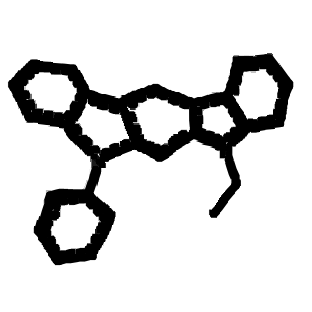 CCn1c2ccccc2c2cc3c4ccccc4n(-c4ccccc4)c3cc21